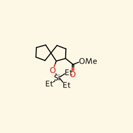 CC[Si](CC)(CC)OC1C(C(=O)OC)CCC12CCCC2